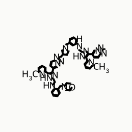 Cc1cccc(-c2[nH]c(CNc3cccc(CN4CCC(c5nc6ccc(-c7nc(CNc8ccccc8CN8CCOCC8)[nH]c7-c7cccc(C)n7)cn6n5)C4)c3)nc2-c2ccc3ncnn3c2)n1